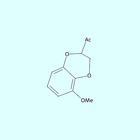 COc1cccc2c1OCC(C(C)=O)O2